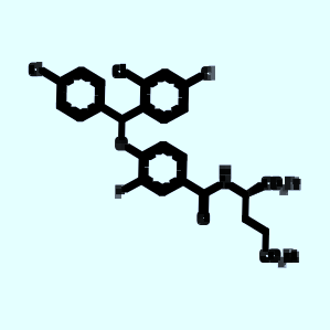 CCOC(=O)CC[C@@H](NC(=O)c1ccc(OC(c2ccc(Cl)cc2)c2ccc(Cl)cc2Cl)c(F)c1)C(=O)OCC